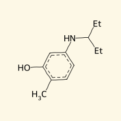 CCC(CC)Nc1ccc(C)c(O)c1